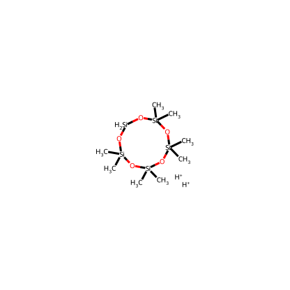 C[Si]1(C)O[SiH2]O[Si](C)(C)O[Si](C)(C)O[Si](C)(C)O1.[H+].[H+]